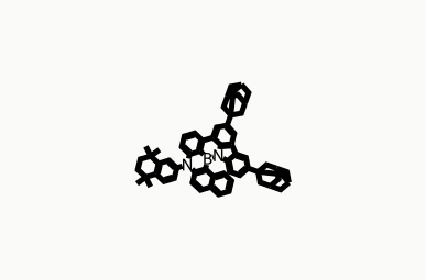 CC1(C)CCC(C)(C)c2cc(N3c4cccc5c4B(c4c3ccc3ccccc43)n3c4ccc(C67CC8CC(CC(C8)C6)C7)cc4c4cc(C67CC8CC(CC(C8)C6)C7)cc-5c43)ccc21